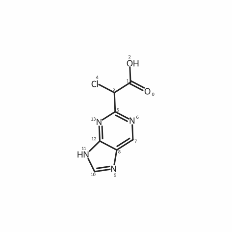 O=C(O)C(Cl)c1ncc2nc[nH]c2n1